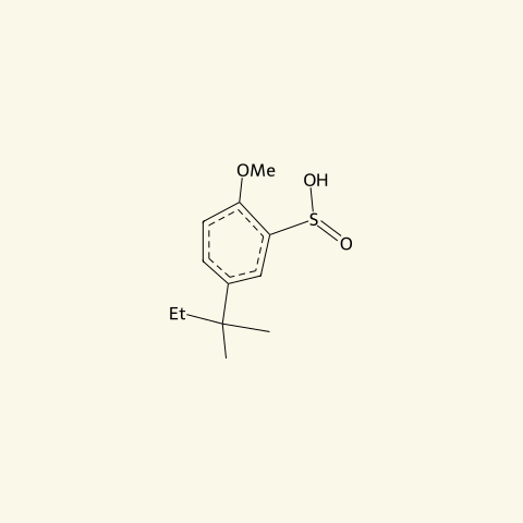 CCC(C)(C)c1ccc(OC)c(S(=O)O)c1